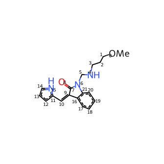 COCCCNCN1C(=O)/C(=C\c2ccc[nH]2)c2ccccc21